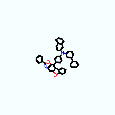 c1ccc(-c2cccc(N(c3ccc(-c4c5oc(-c6ccccc6)nc5cc5oc6ccccc6c45)cc3)c3ccc4ccccc4c3)c2)cc1